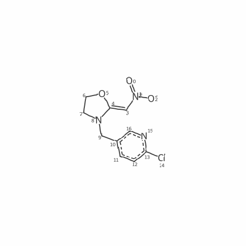 O=[N+]([O-])C=C1OCCN1Cc1ccc(Cl)nc1